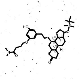 CN(C)C(=O)CCCOc1cc(O)cc(CCCC2CC3CC(=O)CC[C@]3(C)[C@@H]3CC[C@]4(C)C(O[Si](C)(C)C(C)(C)C)CC[C@H]4[C@H]23)c1